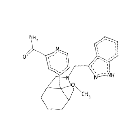 COC1(c2ccnc(C(N)=O)c2)C2CCCC1CN(Cc1n[nH]c3ccccc13)C2